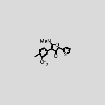 CNC1=C(c2ccc(C)c(C(F)(F)F)c2)C(=O)C(c2cccs2)O1